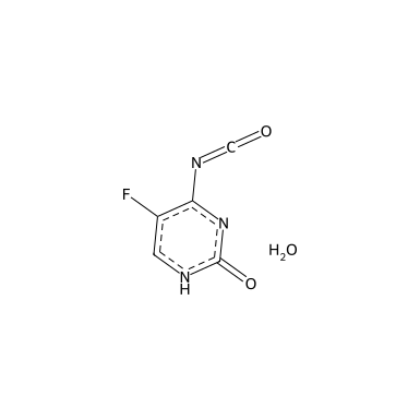 O.O=C=Nc1nc(=O)[nH]cc1F